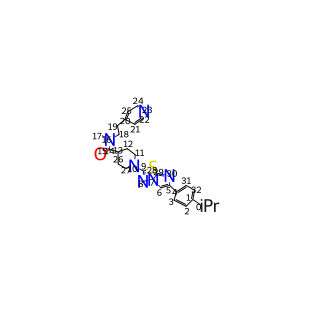 CC(C)c1ccc(-c2cn3nc(N4CCC(C(=O)N(C)CCc5ccncc5)CC4)sc3n2)cc1